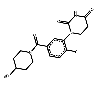 CCCC1CCN(C(=O)c2ccc(Cl)c(N3CCC(=O)NC3=O)c2)CC1